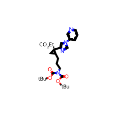 CCOC(=O)[C@]1(c2cn(-c3cccnc3)cn2)CC1CCCN(C(=O)OC(C)(C)C)C(=O)OC(C)(C)C